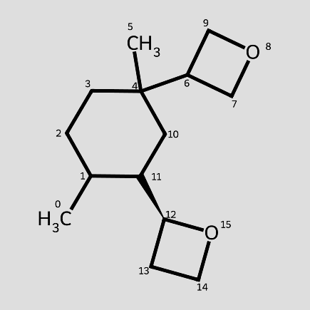 CC1CCC(C)(C2COC2)CC1[C@@H]1CCO1